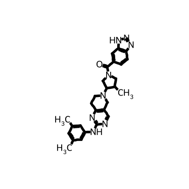 Cc1cc(C)cc(Nc2ncc3c(n2)CCN(C2CN(C(=O)c4ccc5nn[nH]c5c4)CC2C)C3)c1